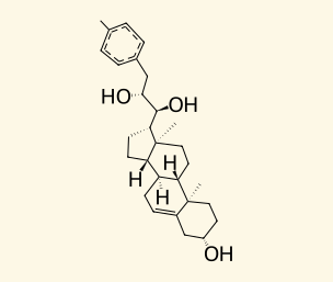 Cc1ccc(C[C@@H](O)[C@@H](O)[C@H]2CC[C@H]3[C@@H]4CC=C5C[C@@H](O)CC[C@]5(C)[C@H]4CC[C@]23C)cc1